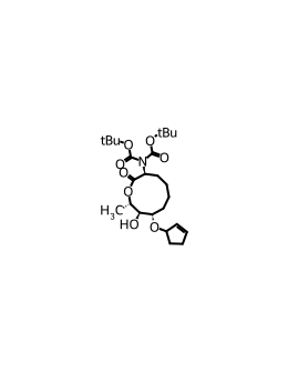 C[C@@H]1OC(=O)[C@@H](N(C(=O)OC(C)(C)C)C(=O)OC(C)(C)C)CCCC[C@H](OC2C=CCC2)[C@H]1O